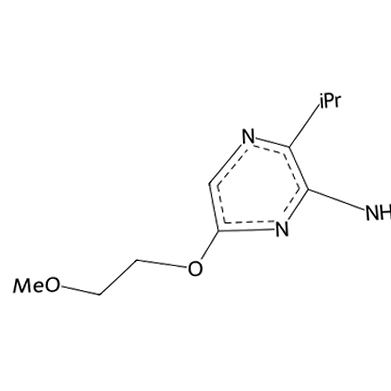 COCCOc1cnc(C(C)C)c(N)n1